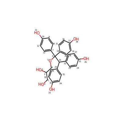 OCC(O)COC(c1ccc(O)cc1)(c1ccc(O)cc1)C(c1ccc(O)cc1)c1ccc(O)cc1